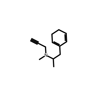 C#CCN(C)C(C)CC1=CCCC=C1